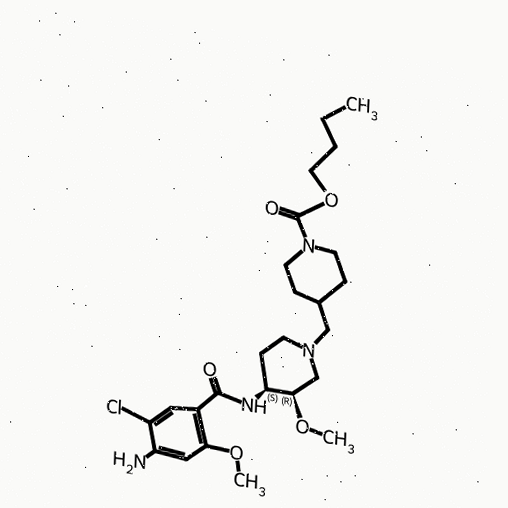 CCCCOC(=O)N1CCC(CN2CC[C@H](NC(=O)c3cc(Cl)c(N)cc3OC)[C@H](OC)C2)CC1